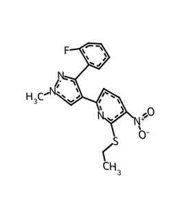 CCSc1nc(-c2cn(C)nc2-c2ccccc2F)ccc1[N+](=O)[O-]